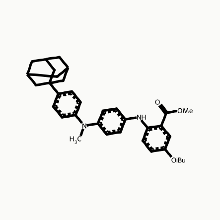 COC(=O)c1cc(OCC(C)C)ccc1Nc1ccc(N(C)c2ccc(C34CC5CC(CC(C5)C3)C4)cc2)cc1